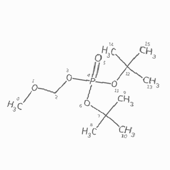 COCOP(=O)(OC(C)(C)C)OC(C)(C)C